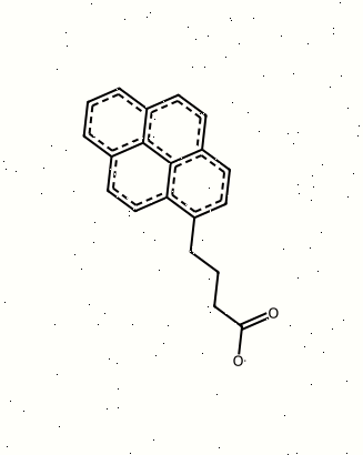 [O]C(=O)CCCc1ccc2ccc3cccc4ccc1c2c34